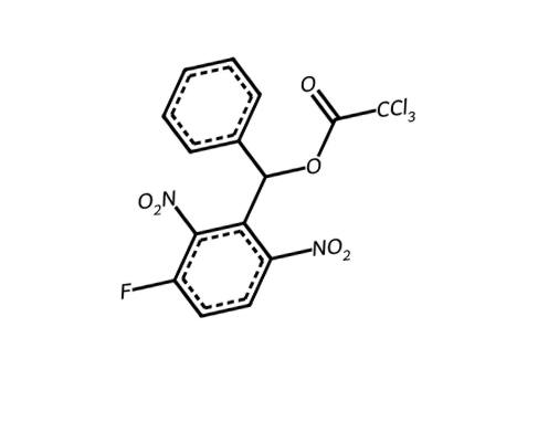 O=C(OC(c1ccccc1)c1c([N+](=O)[O-])ccc(F)c1[N+](=O)[O-])C(Cl)(Cl)Cl